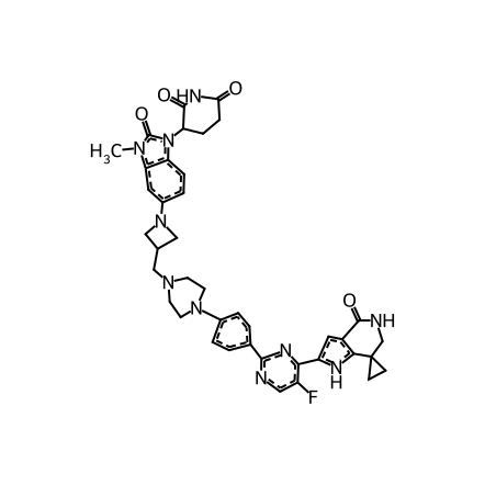 Cn1c(=O)n(C2CCC(=O)NC2=O)c2ccc(N3CC(CN4CCN(c5ccc(-c6ncc(F)c(-c7cc8c([nH]7)C7(CC7)CNC8=O)n6)cc5)CC4)C3)cc21